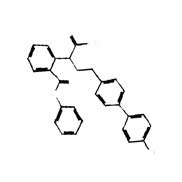 O=C(Oc1ccccc1)c1ccccc1C(CCc1ccc(-c2ccc(Cl)cc2)cc1)C(=O)O